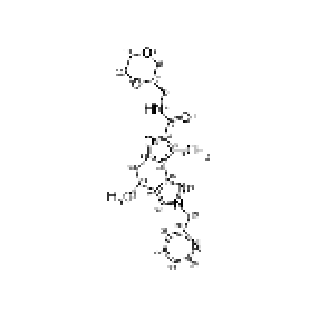 Cc1c(C(=O)NC[C@@H]2COCCO2)oc2c1-c1nn(Cc3ccccn3)cc1C(C)C2